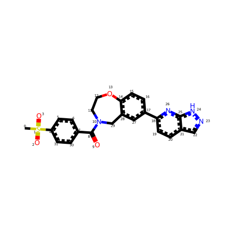 CS(=O)(=O)c1ccc(C(=O)N2CCOc3ccc(-c4ccc5cn[nH]c5n4)cc3C2)cc1